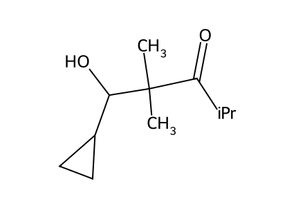 CC(C)C(=O)C(C)(C)C(O)C1CC1